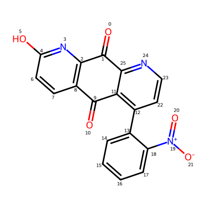 O=C1c2nc(O)ccc2C(=O)c2c(-c3ccccc3[N+](=O)[O-])ccnc21